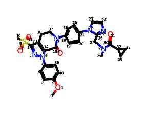 COc1ccc(-n2nc(S(C)(=O)=O)c3c2C(=O)N(c2ccc(-n4ccnc4CN(C)C(=O)C4CC4)cc2)CC3)cc1